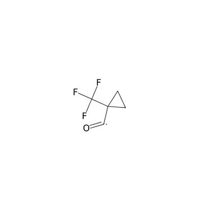 O=[C]C1(C(F)(F)F)CC1